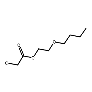 CCCCOCCOC(=O)CCl